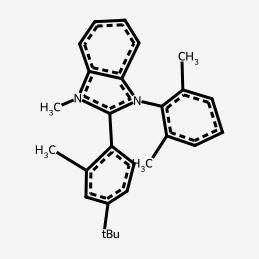 Cc1cc(C(C)(C)C)ccc1-c1n(-c2c(C)cccc2C)c2ccccc2[n+]1C